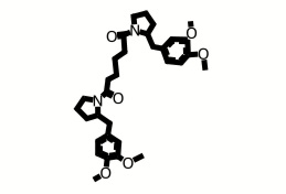 COc1ccc(CC2CCCN2C(=O)CCCCC(=O)N2CCCC2Cc2ccc(OC)c(OC)c2)cc1OC